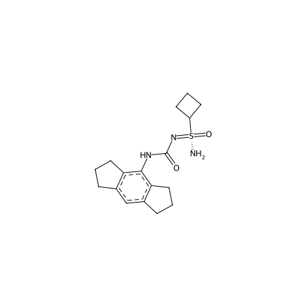 N[S@](=O)(=NC(=O)Nc1c2c(cc3c1CCC3)CCC2)C1CCC1